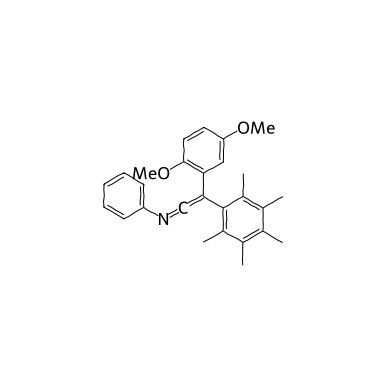 COc1ccc(OC)c(C(=C=Nc2ccccc2)c2c(C)c(C)c(C)c(C)c2C)c1